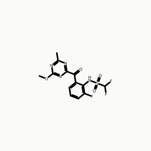 COc1nc(C)nc(C(=O)c2cccc(F)c2NS(=O)(=O)C(F)F)n1